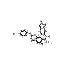 CCn1cc2ncc(N[C@@H](C)c3cc(NC(=O)Cc4ccc(C)cn4)c(F)cc3F)nc2n1